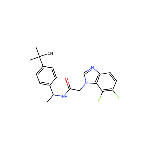 CC(NC(=O)Cn1cnc2ccc(F)c(F)c21)c1ccc(C(C)(C)C#N)cc1